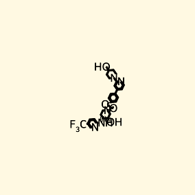 O=S(=O)(c1ccc(-c2ccnc(N3CCC(O)CC3)c2)cc1)N1CC[C@@H](Nc2ccc(C(F)(F)F)cn2)[C@@H](O)C1